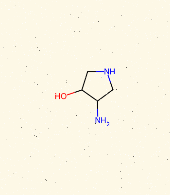 NC1CNCC1O